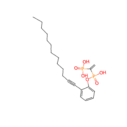 C=C(P(=O)(O)O)P(=O)(O)Oc1ccccc1C#CCCCCCCCCCCC